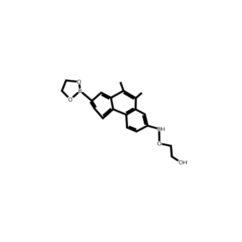 Cc1c(C)c2cc(B3OCCO3)ccc2c2ccc(BOCCO)cc12